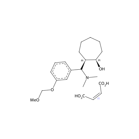 COCOc1cccc(C([C@H]2CCCCC[C@H]2O)N(C)C)c1.O=C(O)/C=C\C(=O)O